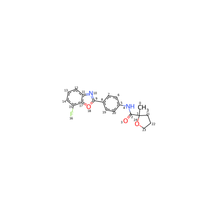 CC1(C(=O)Nc2ccc(-c3nc4cccc(F)c4o3)cc2)CCCO1